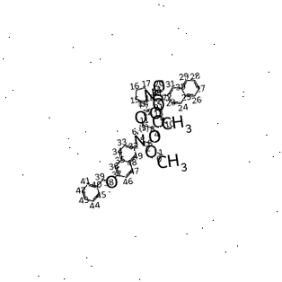 CCOC(=O)N(C[C@@H](COC)OC(=O)[C@@H]1CCCN1S(=O)(=O)c1ccc2ccccc2c1)c1ccc2cc(OCc3ccccc3)ccc2c1